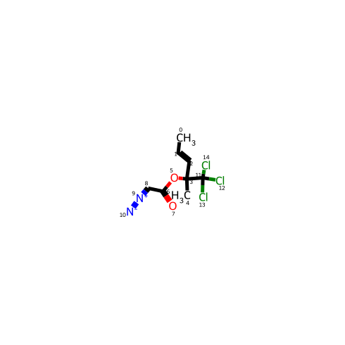 CC=CC(C)(OC(=O)C=[N+]=[N-])C(Cl)(Cl)Cl